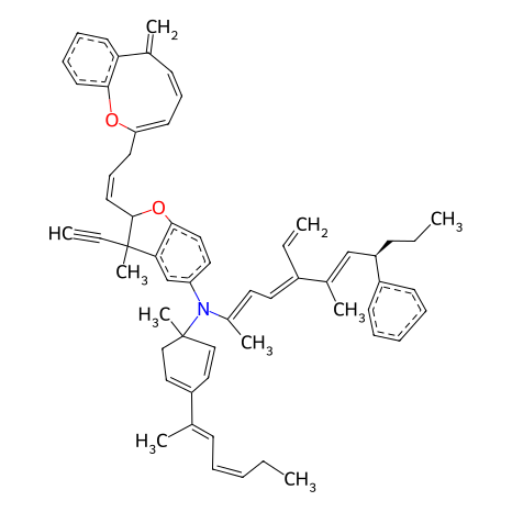 C#CC1(C)c2cc(N(/C(C)=C/C=C(C=C)/C(C)=C/[C@@H](CCC)c3ccccc3)C3(C)C=CC(/C(C)=C/C=C\CC)=CC3)ccc2OC1/C=C\C/C1=C/C=C\C(=C)c2ccccc2O1